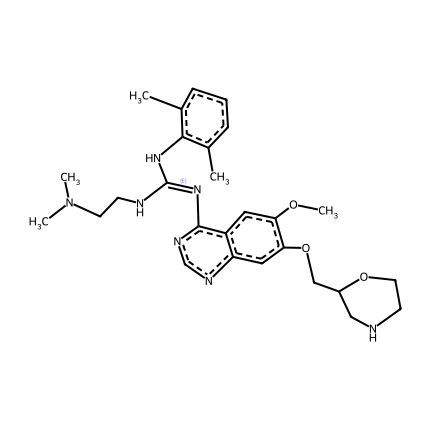 COc1cc2c(/N=C(\NCCN(C)C)Nc3c(C)cccc3C)ncnc2cc1OCC1CNCCO1